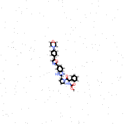 COC(=O)N[C@@H](C(=O)N1CCC[C@H]1c1nc2ccc(-c3ncc(-c4ccc(N5CCOCC5)cc4)o3)cc2[nH]1)c1ccccc1